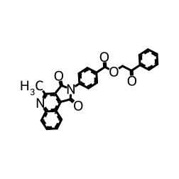 Cc1nc2ccccc2c2c1C(=O)N(c1ccc(C(=O)OCC(=O)c3ccccc3)cc1)C2=O